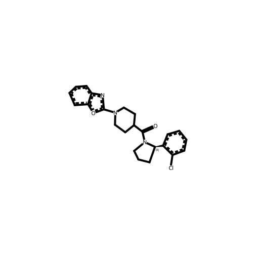 O=C(C1CCN(c2nc3ccccc3o2)CC1)N1CCC[C@@H]1c1ccccc1Cl